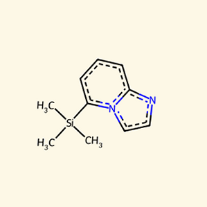 C[Si](C)(C)c1cccc2nccn12